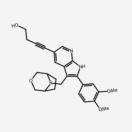 COc1ccc(-c2[nH]c3ncc(C#CCCO)cc3c2CN2C3CCC2COC3)cc1OC